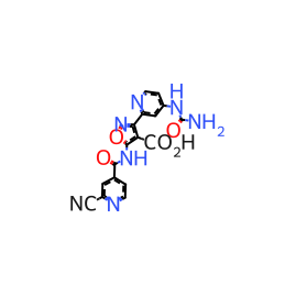 N#Cc1cc(C(=O)Nc2onc(-c3cc(NC(N)=O)ccn3)c2C(=O)O)ccn1